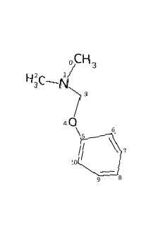 CN(C)COc1[c]cccc1